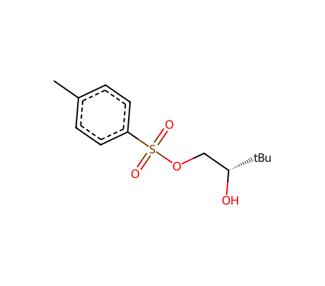 Cc1ccc(S(=O)(=O)OC[C@@H](O)C(C)(C)C)cc1